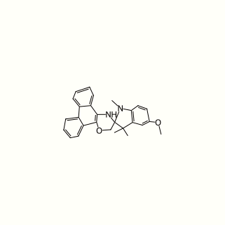 COc1ccc2c(c1)C(C)(C)C1(COc3c(c4ccccc4c4ccccc34)N1)N2C